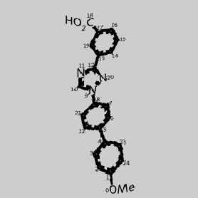 COc1ccc(-c2ccc(-n3cnc(-c4cccc(C(=O)O)c4)n3)cc2)cc1